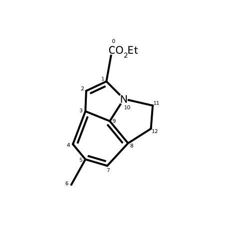 CCOC(=O)c1cc2cc(C)cc3c2n1CC3